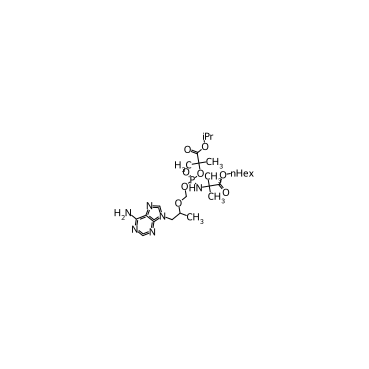 CCCCCCOC(=O)C(C)(C)NP(=O)(OCOC(C)Cn1cnc2c(N)ncnc21)OC(C)(C)C(=O)OC(C)C